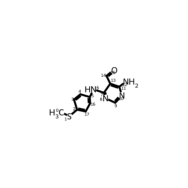 CSc1ccc(Nc2ncnc(N)c2C=O)cc1